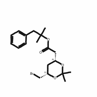 CC(C)(Cc1ccccc1)OC(=O)C[C@H]1C[C@@H](CBr)OC(C)(C)O1